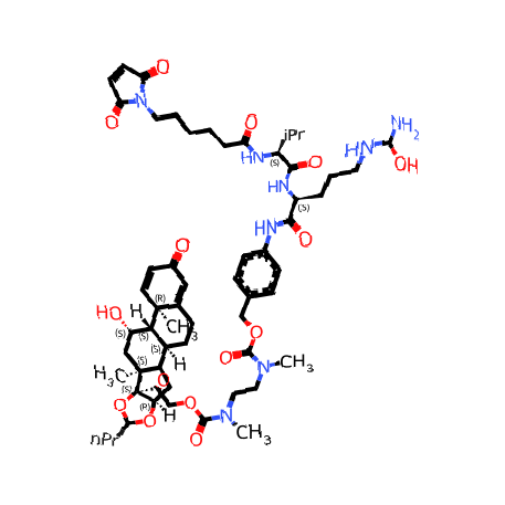 CCCC1O[C@@H]2CC3[C@@H]4CCC5=CC(=O)C=C[C@]5(C)[C@H]4[C@@H](O)C[C@]3(C)[C@]2(C(=O)COC(=O)N(C)CCN(C)C(=O)OCc2ccc(NC(=O)[C@H](CCCNC(N)O)NC(=O)[C@@H](NC(=O)CCCCCN3C(=O)C=CC3=O)C(C)C)cc2)O1